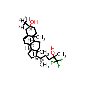 [2H]C([2H])([2H])[C@]1(O)CC[C@@]2(C)C(=CC[C@H]3[C@@H]4CC[C@H]([C@H](C)CC[C@](C)(O)C(F)(F)F)[C@@]4(C)CC[C@@H]32)C1